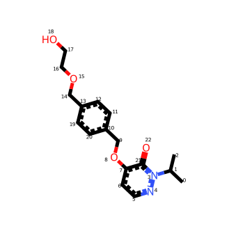 CC(C)n1nccc(OCc2ccc(COCCO)cc2)c1=O